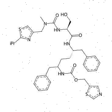 CC(C)c1nc(CN(C)C(=O)N[C@@H](CO)C(=O)N[C@@H](CCC(Cc2ccccc2)NC(=O)OCc2cncs2)Cc2ccccc2)cs1